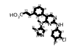 CN(c1nc(Nc2ccc(F)c(Cl)c2)ncc1-c1cccc(C=CC(=O)O)c1)c1cncn1C